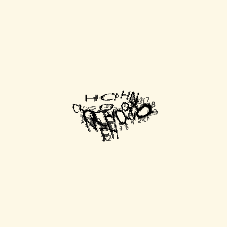 Cl.O=C(NC1CCC(CN2C(=O)C3(CNC3)c3ccccc32)CC1)c1cc(Cl)cnc1C(F)F